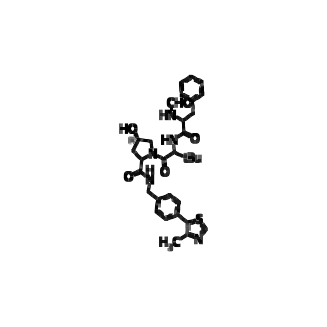 Cc1ncsc1-c1ccc(CNC(=O)C2C[C@@H](O)CN2C(=O)C(NC(=O)C(Cc2ccccc2)NC=O)C(C)(C)C)cc1